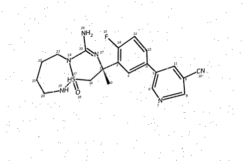 C[C@@]1(c2cc(-c3cncc(C#N)c3)ccc2F)C[SH]2(=O)NCCCCN2C(N)=N1